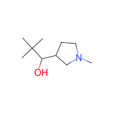 CN1CCC(C(O)C(C)(C)C)C1